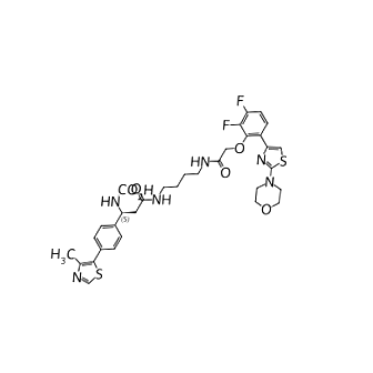 Cc1ncsc1-c1ccc([C@H](CC(=O)NCCCCNC(=O)COc2c(-c3csc(N4CCOCC4)n3)ccc(F)c2F)NC(=O)O)cc1